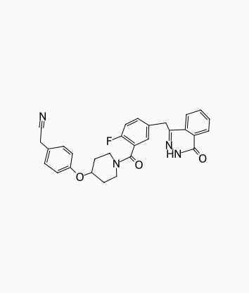 N#CCc1ccc(OC2CCN(C(=O)c3cc(Cc4n[nH]c(=O)c5ccccc45)ccc3F)CC2)cc1